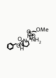 COCCS(=O)(=O)N=C(N)[C@@H]1CC[C@@H]2CN1C(=O)N2OCc1ccccc1